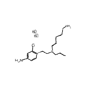 CCCN(CCCCCN)CCc1ccc(N)cc1Cl.Cl.Cl